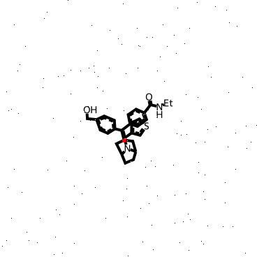 CCNC(=O)c1ccc(C(=C2CC3CCC(C2)N3Cc2ccsc2)c2ccc(CO)cc2)cc1